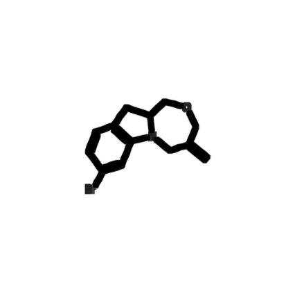 C=C1COCC2Cc3ccc(Br)cc3N2C1